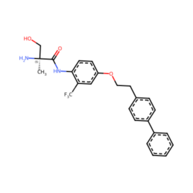 C[C@](N)(CO)C(=O)Nc1ccc(OCCc2ccc(-c3ccccc3)cc2)cc1C(F)(F)F